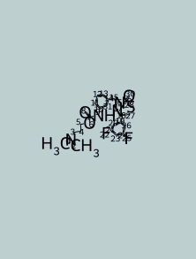 CN(C)CCCOC(=O)Nc1cccc(CN2N=C(c3cc(F)cc(F)c3)CSC2=O)c1